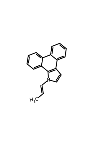 CC=Cn1ccc2c3ccccc3c3ccccc3c21